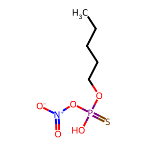 CCCCCOP(O)(=S)O[N+](=O)[O-]